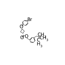 CC(C)(C)Cc1cccc(COC(=O)[C@H]2C[C@@H](Oc3ccc(Br)cc3)C2)c1